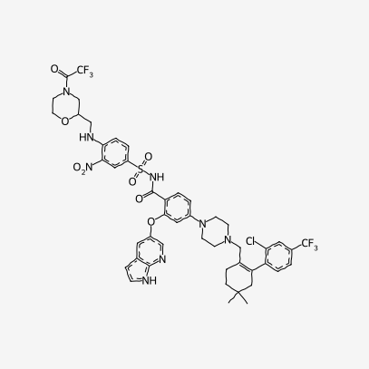 CC1(C)CCC(CN2CCN(c3ccc(C(=O)NS(=O)(=O)c4ccc(NCC5CN(C(=O)C(F)(F)F)CCO5)c([N+](=O)[O-])c4)c(Oc4cnc5[nH]ccc5c4)c3)CC2)=C(c2ccc(C(F)(F)F)cc2Cl)C1